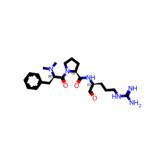 CN(C)[C@H](Cc1ccccc1)C(=O)N1CCC[C@H]1C(=O)N[C@H](C=O)CCCNC(=N)N